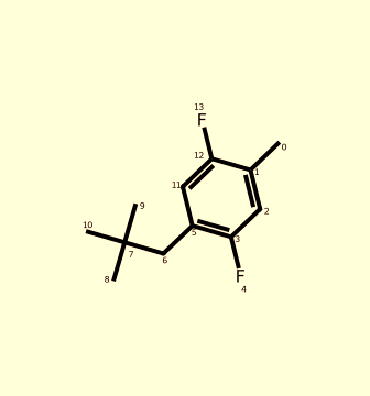 Cc1cc(F)c(CC(C)(C)C)cc1F